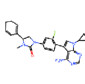 CN1C(=O)N(c2ccc(-c3cn(C4CC4)c4ncnc(N)c34)c(F)c2)CC1C1=CCCC=C1